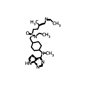 C/C=N\C=C(/C)CCS(=O)(CC1CCC(N(C)c2ncnc3[nH]ccc23)CC1)=NCC